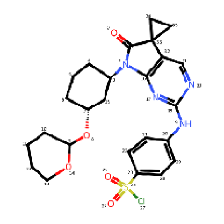 O=C1N([C@@H]2CCC[C@@H](OC3CCCCO3)C2)c2nc(Nc3ccc(S(=O)(=O)Cl)cc3)ncc2C12CC2